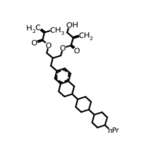 C=C(C)C(=O)OCC(COC(=O)C(=C)CO)Cc1ccc2c(c1)CCC(C1CCC(C3CCC(CCC)CC3)CC1)C2